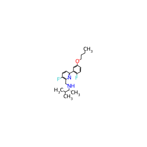 CCCCOc1ccc(F)c(-c2ccc(F)c(CN[C@H](C)C(C)C)n2)c1